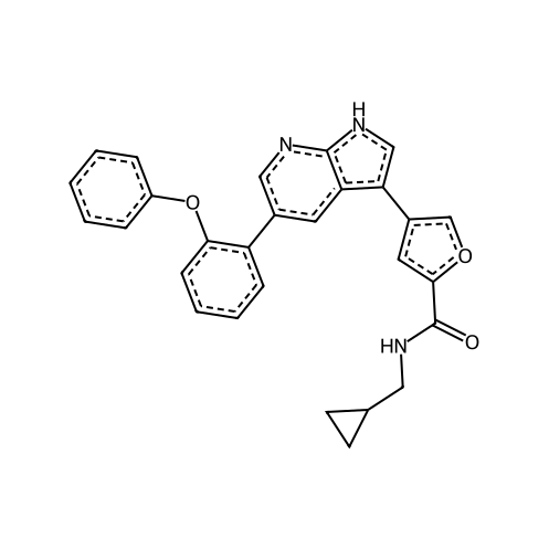 O=C(NCC1CC1)c1cc(-c2c[nH]c3ncc(-c4ccccc4Oc4ccccc4)cc23)co1